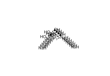 O=S(=O)(O)O.O=S(=O)(O)O.O=S(=O)(O)O.O=S(=O)(O)O.O=S(=O)(O)O.[NaH].[NaH].[NaH].[NaH].[NaH].[NaH].[NaH].[NaH].[NaH].[NaH].[NaH].[NaH].[NaH]